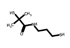 CC(C)(S)C(=O)NCCCS